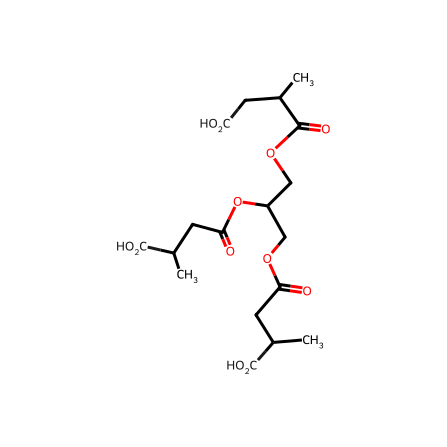 CC(CC(=O)OCC(COC(=O)C(C)CC(=O)O)OC(=O)CC(C)C(=O)O)C(=O)O